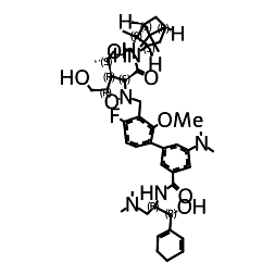 COc1c(-c2cc(C(=O)N[C@H](CN(C)C)[C@H](O)C3=CCCC=C3)cc(N(C)C)c2)ccc(F)c1CN1O[C@@H](CO)[C@@H]([C@H](C)O)[C@H]1C(=O)N[C@H]1C[C@H]2C[C@@H]([C@@H]1C)C2(C)C